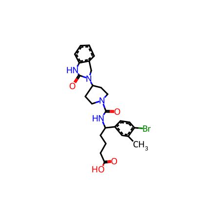 Cc1cc(C(CCCC(=O)O)NC(=O)N2CCC(N3Cc4ccccc4NC3=O)CC2)ccc1Br